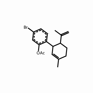 C=C(C)C1CCC(C)=CC1c1[c]cc(Br)cc1OC(C)=O